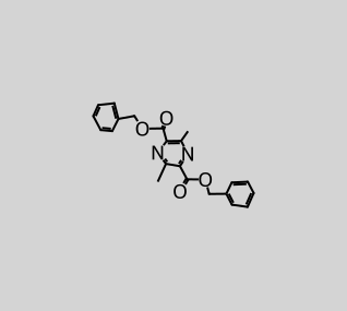 Cc1nc(C(=O)OCc2ccccc2)c(C)nc1C(=O)OCc1ccccc1